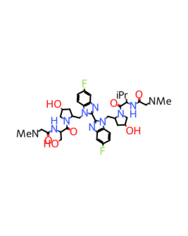 CNCC(=O)NC(CO)C(=O)N1CC(O)CC1Cn1c(-c2nc3cc(F)ccc3n2CC2CC(O)CN2C(=O)C(NC(=O)CNC)C(C)C)nc2cc(F)ccc21